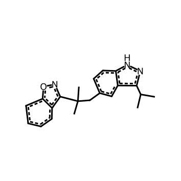 CC(C)c1n[nH]c2ccc(CC(C)(C)c3noc4ccccc34)cc12